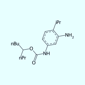 CCCCC(CCC)OC(=O)Nc1ccc(C(C)C)c(N)c1